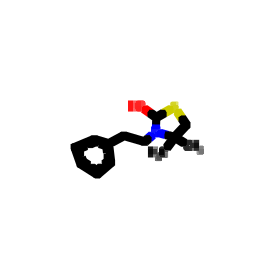 CC1(C)CSC(O)N1CCc1ccccc1